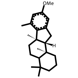 COc1cc(C)c2c(c1)C[C@H]1[C@@]2(C)CCC2C(C)(C)CCC[C@@]21C